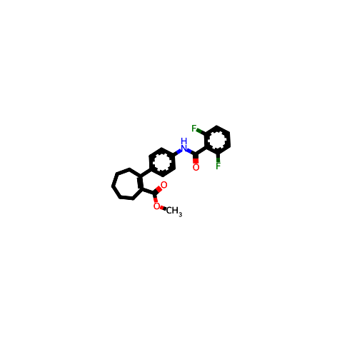 COC(=O)C1=C(c2ccc(NC(=O)c3c(F)cccc3F)cc2)CCCCC1